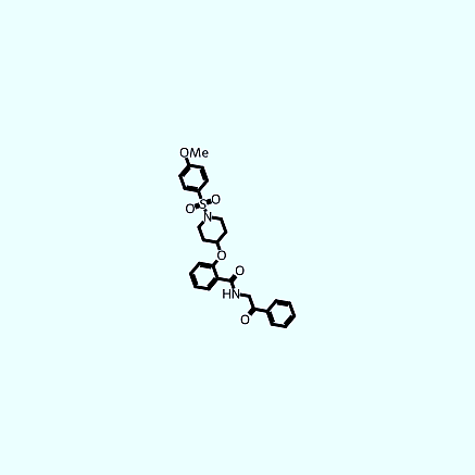 COc1ccc(S(=O)(=O)N2CCC(Oc3ccccc3C(=O)NCC(=O)c3ccccc3)CC2)cc1